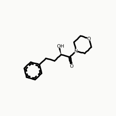 O=C([C@H](O)CCc1ccccc1)N1CCOCC1